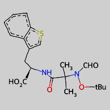 CC(C)(C)ON(C=O)C(C)(C)C(=O)N[C@H](Cc1csc2ccccc12)C(=O)O